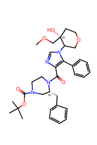 COC[C@@]1(O)CCOCC1n1cnc(C(=O)N2CCN(C(=O)OC(C)(C)C)C[C@H]2Cc2ccccc2)c1-c1ccccc1